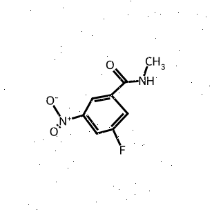 CNC(=O)c1cc(F)cc([N+](=O)[O-])c1